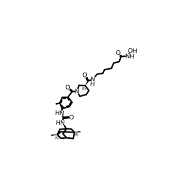 Cc1cc(C(=O)N2CCC[C@H](C(=O)NCCCCCCC(=O)NO)C2)ccc1NC(=O)NC12CC3C[C@@](C)(C1)C[C@](C)(C3)C2